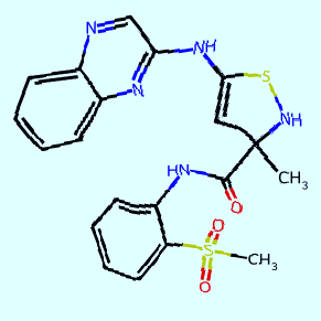 CC1(C(=O)Nc2ccccc2S(C)(=O)=O)C=C(Nc2cnc3ccccc3n2)SN1